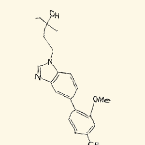 COc1cc(C(F)(F)F)ccc1-c1ccc2c(c1)ncn2CCC(C)(C)O